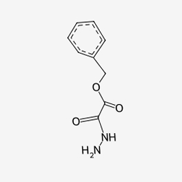 NNC(=O)C(=O)OCc1ccccc1